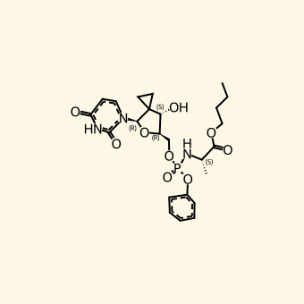 CCCCOC(=O)[C@H](C)NP(=O)(OC[C@H]1O[C@@H](n2ccc(=O)[nH]c2=O)C2(CC2)[C@@H]1O)Oc1ccccc1